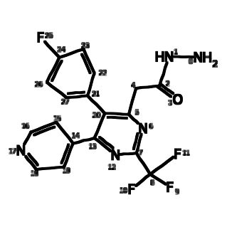 NNC(=O)Cc1nc(C(F)(F)F)nc(-c2ccncc2)c1-c1ccc(F)cc1